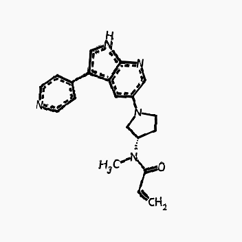 C=CC(=O)N(C)[C@H]1CCN(c2cnc3[nH]cc(-c4ccncc4)c3c2)C1